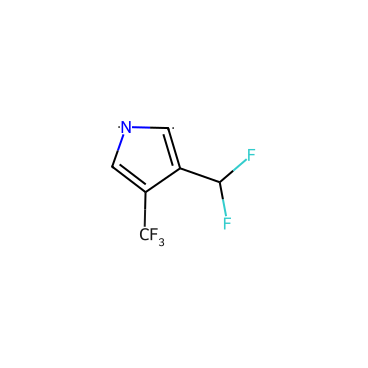 FC(F)C1=[C][N]C=C1C(F)(F)F